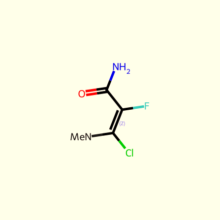 CN/C(Cl)=C(/F)C(N)=O